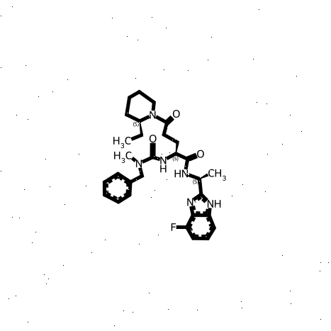 CC[C@H]1CCCCN1C(=O)CC[C@H](NC(=O)N(C)Cc1ccccc1)C(=O)N[C@@H](C)c1nc2c(F)cccc2[nH]1